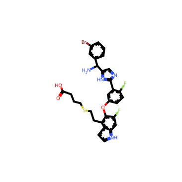 NC(c1cccc(Br)c1)c1cnc(-c2cc(Oc3c(F)cc4[nH]ccc4c3CCSCCCC(=O)O)ccc2F)[nH]1